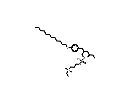 CCCCCCCCCCCCOc1ccc(CC(COP(=O)(O)OCCC[N+](C)(C)CC)CC(=O)CC)cc1